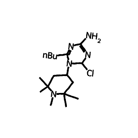 CCCCC1=NC(N)=NC(Cl)N1C1CC(C)(C)N(C)C(C)(C)C1